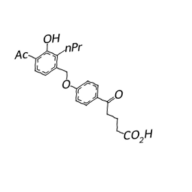 CCCc1c(COc2ccc(C(=O)CCCC(=O)O)cc2)ccc(C(C)=O)c1O